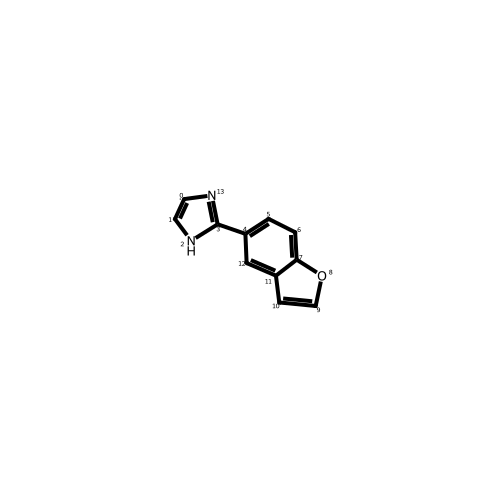 [c]1c[nH]c(-c2ccc3occc3c2)n1